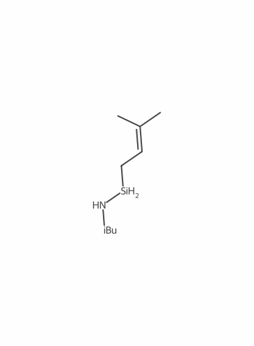 CCC(C)N[SiH2]CC=C(C)C